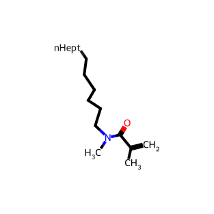 C=C(C)C(=O)N(C)CCCCCCCCCCCCC